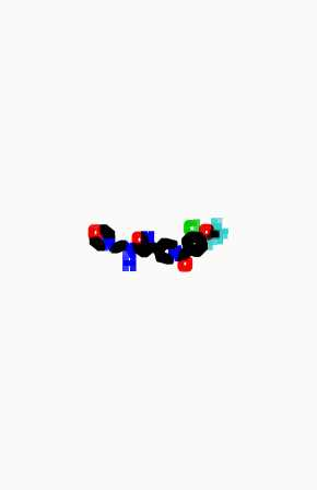 O=C(c1ccc(OC(F)(F)F)c(Cl)c1)N1CCC(c2cc(NCCN3CCOCC3)on2)CC1